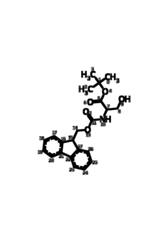 CC(C)(C)OC(=O)C(CO)NC(=O)OCC1c2ccccc2-c2ccccc21